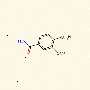 COc1cc(C(N)=O)ccc1C(=O)O